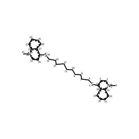 C[n+]1ccc(SCCCCCCCCCCSc2cc[n+](C)c3ccccc23)c2ccccc21